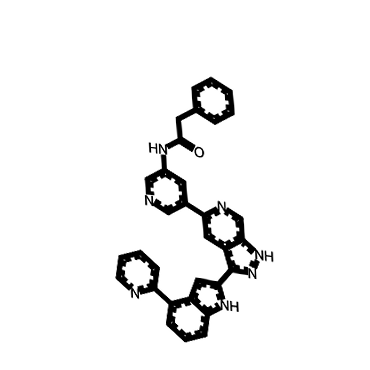 O=C(Cc1ccccc1)Nc1cncc(-c2cc3c(-c4cc5c(-c6ccccn6)cccc5[nH]4)n[nH]c3cn2)c1